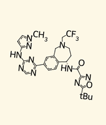 Cn1ccc(Nc2ncnc(-c3ccc4c(c3)CN(CC(F)(F)F)CC[C@@H]4NC(=O)c3noc(C(C)(C)C)n3)n2)n1